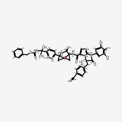 CC(C)(NC(=O)OCc1ccccc1)c1ccc(C2(NC(=O)C3(NC(=O)c4cnc5n4[C@](C)(Cc4ccc(C#N)cc4)C(=O)N5c4cc(Cl)c(F)c(Cl)c4)CC3)CC2)nn1